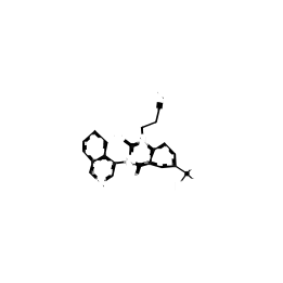 N#CCCn1c(=O)n(-c2cncc3ccccc23)c(=O)c2cc(C(F)(F)F)ccc21